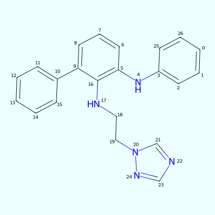 c1ccc(Nc2cccc(-c3ccccc3)c2NCCn2cncn2)cc1